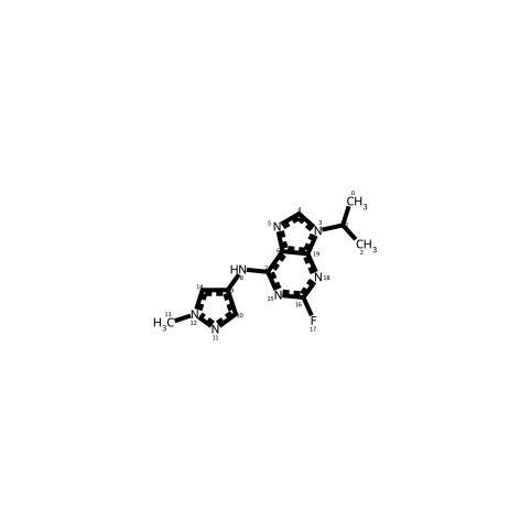 CC(C)n1cnc2c(Nc3cnn(C)c3)nc(F)nc21